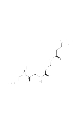 CN(CC(=O)O)C(=O)CNC(=O)OCOC(=O)CCC(=O)O